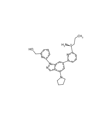 CCC[C@H](N)c1cccc(-c2cc(N3CCCC3)c3cnn(-c4cccc(CO)n4)c3c2)n1